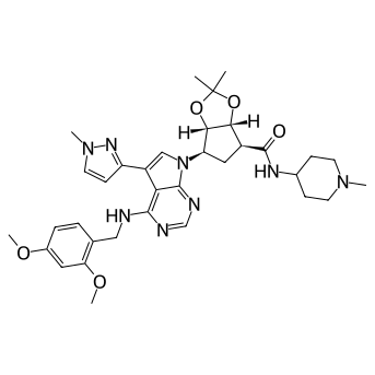 COc1ccc(CNc2ncnc3c2c(-c2ccn(C)n2)cn3[C@@H]2C[C@H](C(=O)NC3CCN(C)CC3)[C@H]3OC(C)(C)O[C@H]32)c(OC)c1